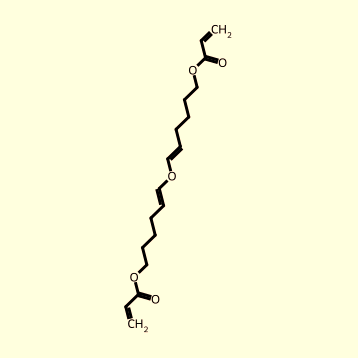 C=CC(=O)OCCCCC=COC=CCCCCOC(=O)C=C